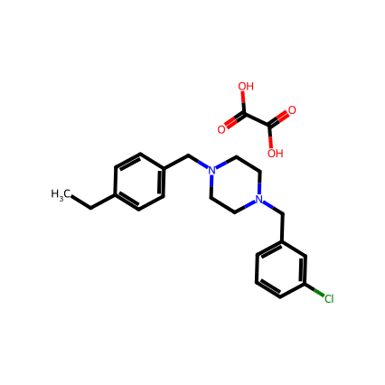 CCc1ccc(CN2CCN(Cc3cccc(Cl)c3)CC2)cc1.O=C(O)C(=O)O